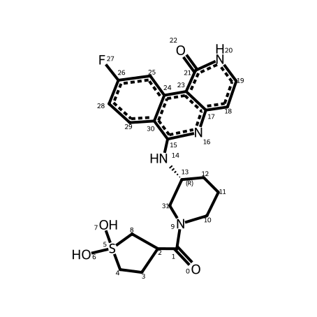 O=C(C1CCS(O)(O)C1)N1CCC[C@@H](Nc2nc3cc[nH]c(=O)c3c3cc(F)ccc23)C1